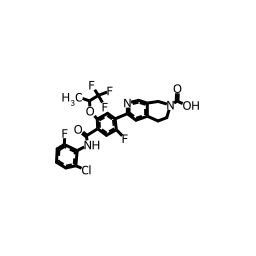 CC(Oc1cc(-c2cc3c(cn2)CN(C(=O)O)CC3)c(F)cc1C(=O)Nc1c(F)cccc1Cl)C(F)(F)F